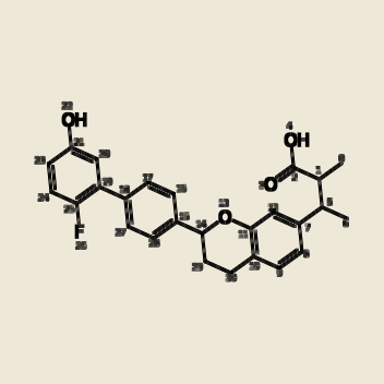 CC(C(=O)O)C(C)c1ccc2c(c1)OC(c1ccc(-c3cc(O)ccc3F)cc1)CC2